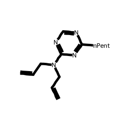 C=CCN(CC=C)c1ncnc(CCCCC)n1